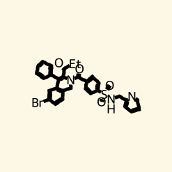 CCC(=O)C1=C(c2ccccc2)c2cc(Br)ccc2CN1C(=O)c1ccc(S(=O)(=O)NCc2ccccn2)cc1